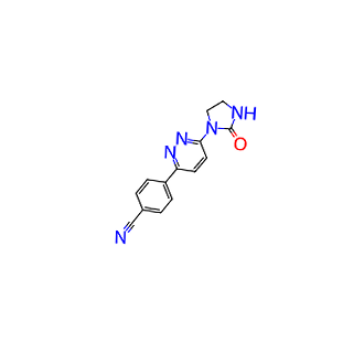 N#Cc1ccc(-c2ccc(N3CCNC3=O)nn2)cc1